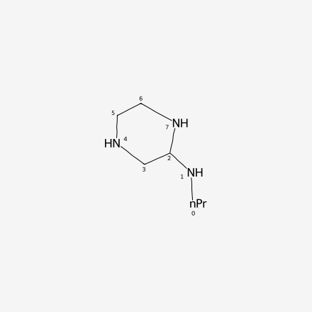 CCCNC1CNCCN1